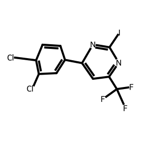 FC(F)(F)c1cc(-c2ccc(Cl)c(Cl)c2)nc(I)n1